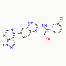 OC[C@@H](Nc1cnc2cc(-c3ncnc4[nH]ncc34)ccc2n1)c1cccc(Cl)c1